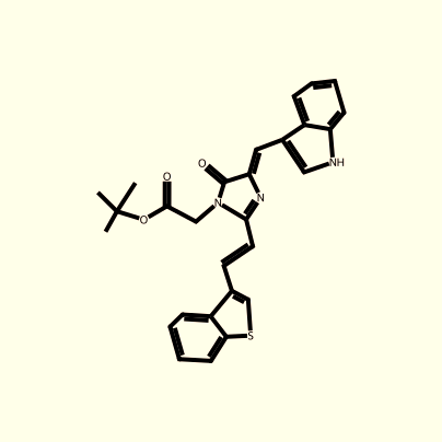 CC(C)(C)OC(=O)CN1C(=O)/C(=C/c2c[nH]c3ccccc23)N=C1/C=C/c1csc2ccccc12